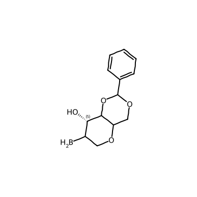 BC1COC2COC(c3ccccc3)OC2[C@H]1O